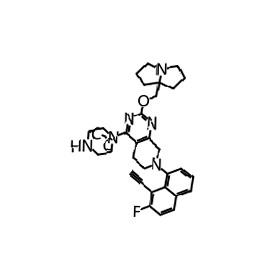 C#Cc1c(F)ccc2cccc(N3CCc4c(nc(OCC56CCCN5CCC6)nc4N4CC5CCCC4CN5)C3)c12